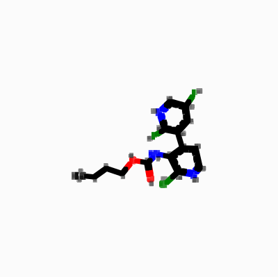 CCCCOC(=O)Nc1c(-c2cc(F)cnc2F)ccnc1Cl